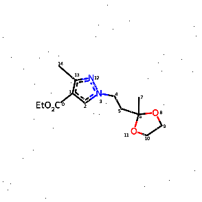 CCOC(=O)c1cn(CCC2(C)OCCO2)nc1C